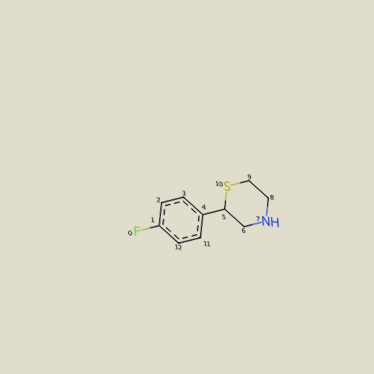 Fc1ccc(C2CNCCS2)cc1